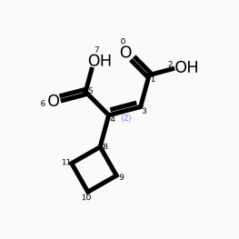 O=C(O)/C=C(\C(=O)O)C1CCC1